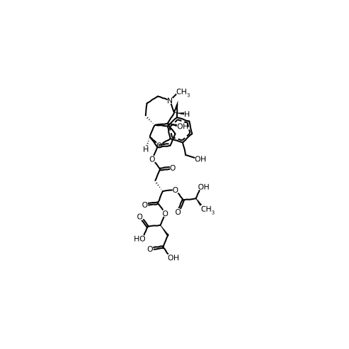 C[C@H](O)C(=O)O[C@@H](CC(=O)OC1=CC[C@@]2(O)[C@H]3Cc4ccc(CO)c5c4[C@@]2(CCCN3C)[C@H]1O5)C(=O)O[C@@H](CC(=O)O)C(=O)O